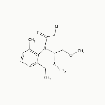 CCc1cccc(C)c1N(C(=O)CCl)C(COC)OC